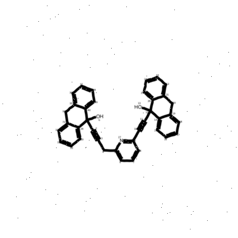 OC1(C#CCc2cccc(C#CC3(O)c4ccccc4Cc4ccccc43)n2)c2ccccc2Cc2ccccc21